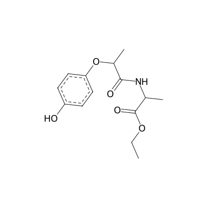 CCOC(=O)C(C)NC(=O)C(C)Oc1ccc(O)cc1